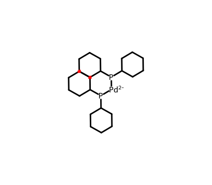 C1CCC([P]([Pd-2][P](C2CCCCC2)C2CCCCC2)C2CCCCC2)CC1